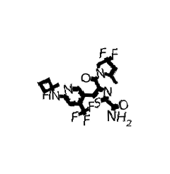 CC1CC(F)(F)CN1C(=O)c1nc(C(N)=O)sc1-c1cnc(NC2(C)CCC2)cc1C(F)(F)F